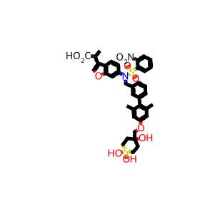 Cc1cc(OCC2(O)CCS(O)(O)CC2)cc(C)c1-c1cccc(CN(c2ccc3c(C(C)C(=O)O)coc3c2)S(=O)(=O)c2ccccc2[N+](=O)[O-])c1